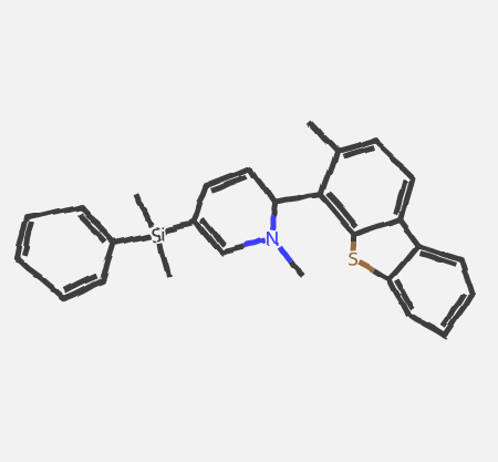 Cc1ccc2c(sc3ccccc32)c1C1C=CC([Si](C)(C)c2ccccc2)=CN1C